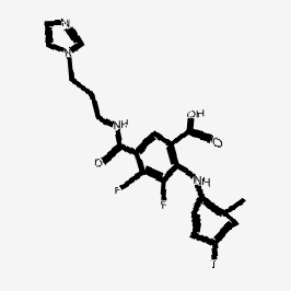 Cc1cc(I)ccc1Nc1c(C(=O)O)cc(C(=O)NCCCn2ccnc2)c(F)c1F